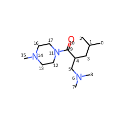 CC(C)CC(CN(C)C)C(=O)N1CCN(C)CC1